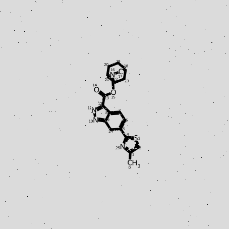 Cc1csc(C2=CC=C3C(=NN=C3C(=O)ON3CC4CCC3CC4)C2)n1